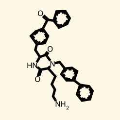 NCCCCC1C(=O)NC(Cc2ccc(C(=O)c3ccccc3)cc2)C(=O)N1Cc1ccc(-c2ccccc2)cc1